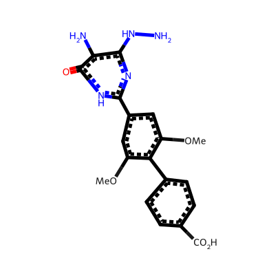 COc1cc(-c2nc(NN)c(N)c(=O)[nH]2)cc(OC)c1-c1ccc(C(=O)O)cc1